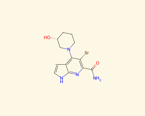 NC(=O)c1nc2[nH]c[c]c2c(N2CCC[C@@H](O)C2)c1Br